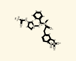 CN(C(=O)Cc1ccc2c(c1)CS(=O)(=O)N2)[C@H](CN1CC[C@H](OC(=O)C(F)(F)F)C1)c1ccccc1